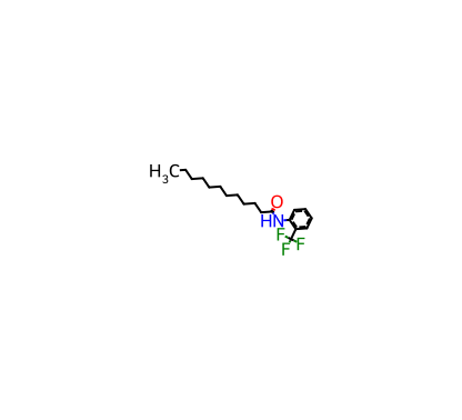 CCCCCCCCCCCC(=O)Nc1ccccc1C(F)(F)F